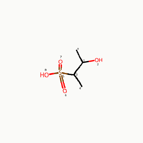 CC(O)C(C)S(=O)(=O)O